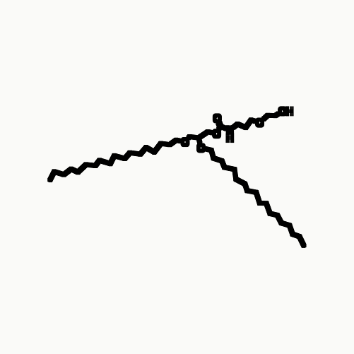 CCCCCCCCCCCCCCCCCCOCC(COC(=O)NCCCOCCO)OCCCCCCCCCCCCCCCCCC